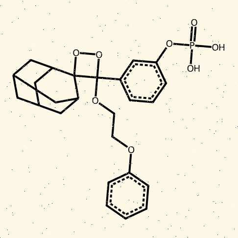 O=P(O)(O)Oc1cccc(C2(OCCOc3ccccc3)OOC23C2CC4CC(C2)CC3C4)c1